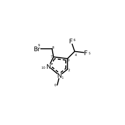 Cn1cc(C(F)F)c(CBr)n1